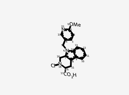 COc1ccc(Cn2c3c(c4ccccc42)C[C@@H](C(=O)O)N(Cl)C3)cn1